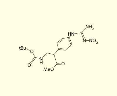 COC(=O)C(CNC(=O)OC(C)(C)C)c1ccc(NC(N)=N[N+](=O)[O-])cc1